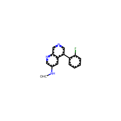 O=CNc1cnc2cncc(-c3ccccc3F)c2c1